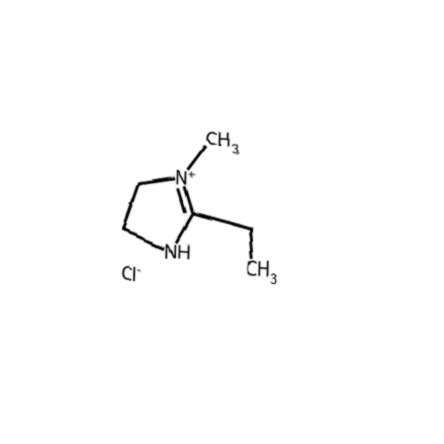 CCC1=[N+](C)CCN1.[Cl-]